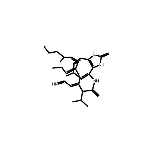 C=C1NC2=C(N1)C(NC(=C)C(/C(=C/C=N)NC(/C=C\C(C)CCC)=C/CC)C(C)C)=CC(C)C=C2